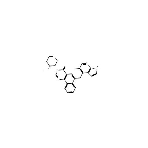 Cn1ccc2c(Cc3cc4c(=O)n([C@H]5COCC[C@@H]5O)cnc4c4ccccc34)c(Cl)cnc21